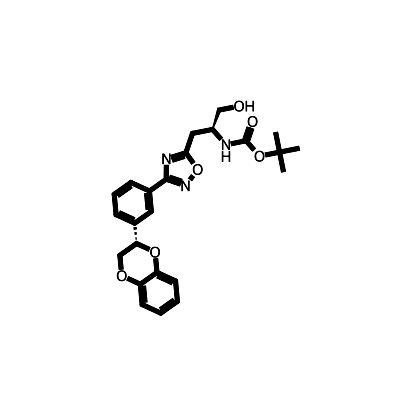 CC(C)(C)OC(=O)N[C@H](CO)Cc1nc(-c2cccc([C@H]3COc4ccccc4O3)c2)no1